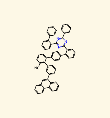 N#Cc1cccc(-c2ccc(-c3ccccc3-c3nc(-c4ccccc4)nc(-c4ccccc4-c4ccccc4)n3)cc2)c1-c1cccc(-c2cc3ccccc3c3ccccc23)c1